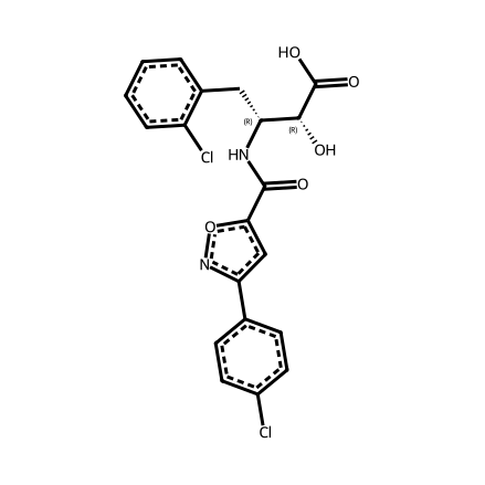 O=C(N[C@H](Cc1ccccc1Cl)[C@@H](O)C(=O)O)c1cc(-c2ccc(Cl)cc2)no1